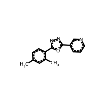 Cc1ccc(-c2nnc(-c3cccnc3)o2)c(C)c1